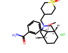 CO[C@@]1(c2cccc(C(N)=O)c2)[C@@H]2CCC[C@H]1CN(CC1CCS(=O)(=O)CC1)C2.Cl